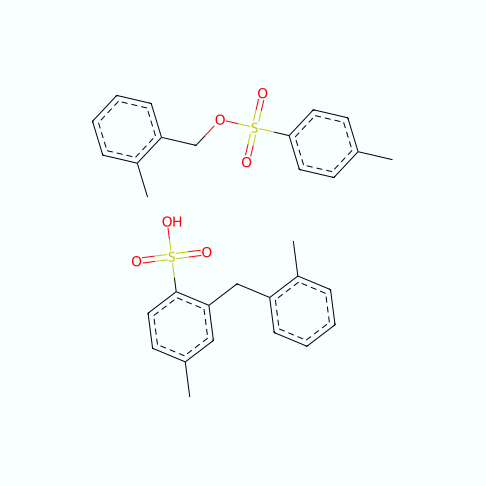 Cc1ccc(S(=O)(=O)O)c(Cc2ccccc2C)c1.Cc1ccc(S(=O)(=O)OCc2ccccc2C)cc1